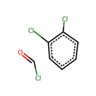 Clc1ccccc1Cl.O=CCl